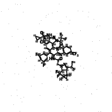 O=C(Cn1nc(C(F)F)c2c1C(F)(F)[C@@H]1C[C@H]21)N[C@@H](Cc1cc(F)cc(F)c1)c1nc2cc(C(F)(F)F)ccc2c(=O)n1-c1ccc(Cl)c2c(NS(=O)(=O)C3CC3)nn(CC(F)F)c12